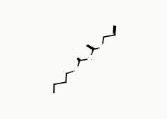 C=CCOC(=S)NC(=O)OCCCC